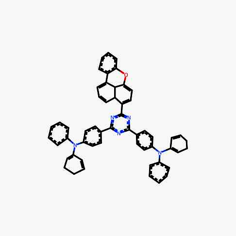 C1=CC2C(c3nc(-c4ccc(N(C5=CCCC=C5)c5ccccc5)cc4)nc(-c4ccc(N(C5=CCCC=C5)c5ccccc5)cc4)n3)=CC=C3Oc4ccccc4C(=C1)C32